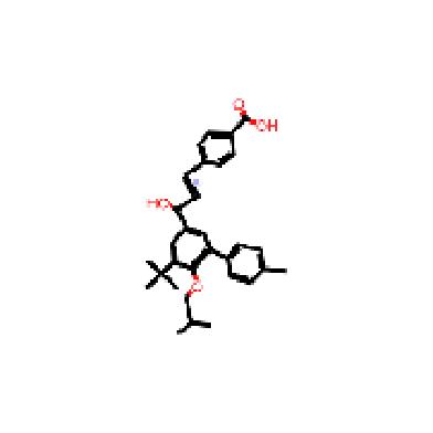 Cc1ccc(-c2cc(C(O)/C=C/c3ccc(C(=O)O)cc3)cc(C(C)(C)C)c2OCC(C)C)cc1